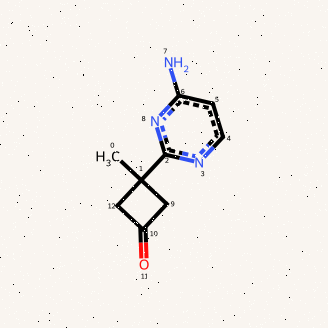 CC1(c2nccc(N)n2)CC(=O)C1